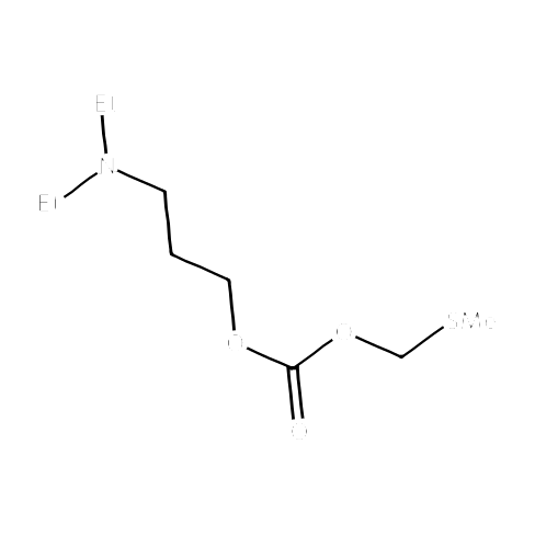 CCN(CC)CCCOC(=O)OCSC